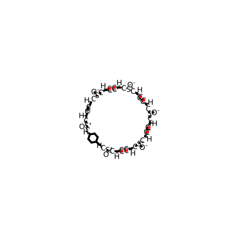 [O-][S+]1C[C@H]2CC[C@H](CC2)C[S+]([O-])C[C@H]2CC[C@H](CC2)C[S+]([O-])C[C@H]2CC[C@H](CC2)C[S@+]([O-])C[C@@H]2CC[C@@H](CC2)C[S+]([O-])C[C@@H]2CC[C@@H](CC2)C[S+]([O-])C[C@@H]2CC[C@@H](CC2)C1